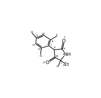 CCC1(C)NC(=O)C(c2c(C)cc(C)cc2C)C1=O